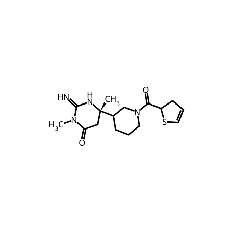 CN1C(=N)N[C@](C)(C2CCCN(C(=O)C3CC=CS3)C2)CC1=O